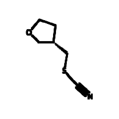 N#CSC[C@H]1CCOC1